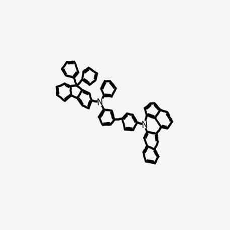 c1ccc(N(c2cccc(-c3ccc(N4c5cc6ccccc6cc5-c5cccc6cccc4c56)cc3)c2)c2ccc3c(c2)C(c2ccccc2)(c2ccccc2)c2ccccc2-3)cc1